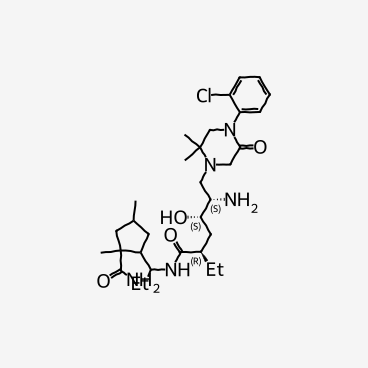 CCC(NC(=O)[C@H](CC)C[C@H](O)[C@@H](N)CN1CC(=O)N(c2ccccc2Cl)CC1(C)C)C1CC(C)CC1(C)C(N)=O